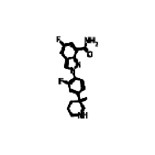 CC1(c2ccc(-n3cc4cc(F)cc(C(N)=O)c4n3)c(F)c2)CCCNC1